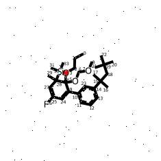 CCCOC1(OCOC)C(c2cccc(C(C)(C)CC(C)(C)C)c2)=CC(F)=CC1(C)[Si](C)(C)C